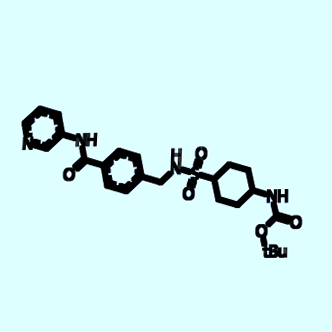 CC(C)(C)OC(=O)NC1CCC(S(=O)(=O)NCc2ccc(C(=O)Nc3cccnc3)cc2)CC1